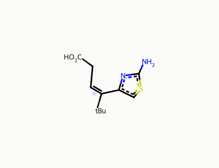 CC(C)(C)/C(=C/CC(=O)O)c1csc(N)n1